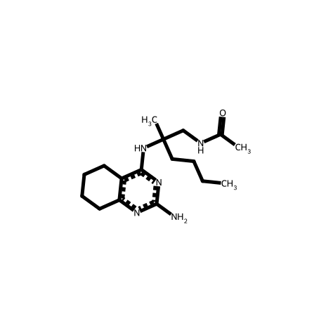 CCCCC(C)(CNC(C)=O)Nc1nc(N)nc2c1CCCC2